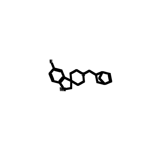 Fc1ccc2c(c1)C1(CCN(CC3CC4C=CC3C4)CC1)CN2